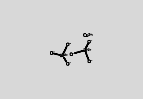 [Cu+2].[O-][Br+2]([O-])[O-].[O-][Br+2]([O-])[O-]